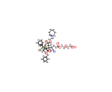 CC(C#N)(CCC(=O)OCCOCCO)CC(C)(CC(C)(SC(=S)c1ccccc1)C(=O)OCc1ccccc1)C(=O)OCCN1CCCCCC1